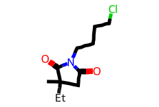 CCC1(C)CC(=O)N(CCCCCl)C1=O